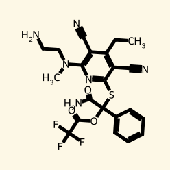 CCc1c(C#N)c(SC(OC(=O)C(F)(F)F)(C(N)=O)c2ccccc2)nc(N(C)CCN)c1C#N